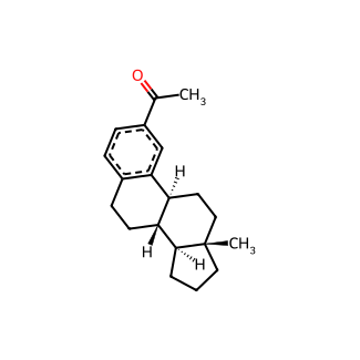 CC(=O)c1ccc2c(c1)[C@H]1CC[C@]3(C)CCC[C@H]3[C@@H]1CC2